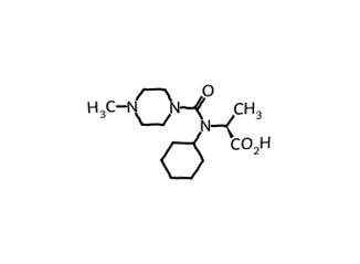 C[C@@H](C(=O)O)N(C(=O)N1CCN(C)CC1)C1CCCCC1